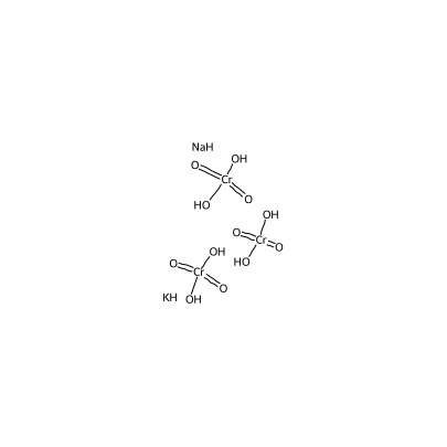 [KH].[NaH].[O]=[Cr](=[O])([OH])[OH].[O]=[Cr](=[O])([OH])[OH].[O]=[Cr](=[O])([OH])[OH]